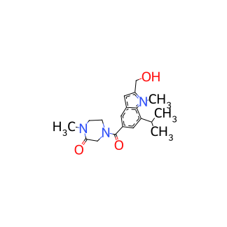 CC(C)c1cc(C(=O)N2CCN(C)C(=O)C2)cc2cc(CO)n(C)c12